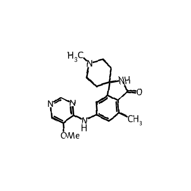 COc1cncnc1Nc1cc(C)c2c(c1)C1(CCN(C)CC1)NC2=O